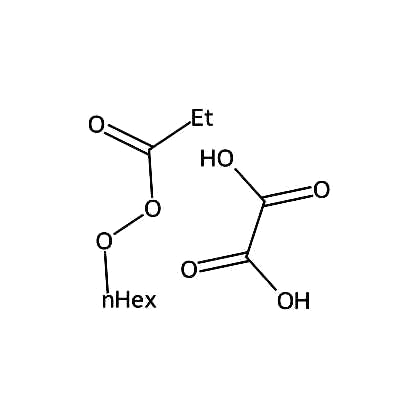 CCCCCCOOC(=O)CC.O=C(O)C(=O)O